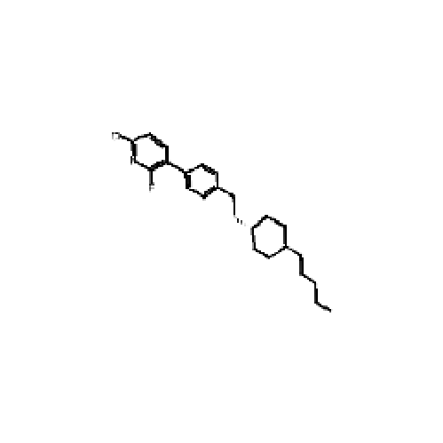 CCCCC[C@H]1CC[C@H](CCc2ccc(-c3ccc(Cl)nc3F)cc2)CC1